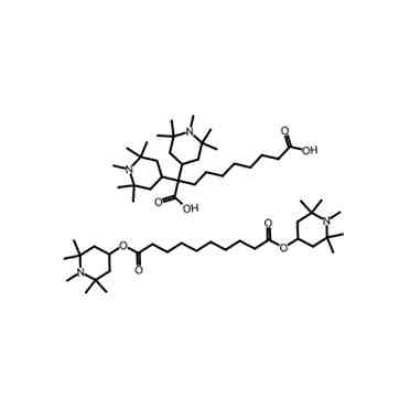 CN1C(C)(C)CC(C(CCCCCCCC(=O)O)(C(=O)O)C2CC(C)(C)N(C)C(C)(C)C2)CC1(C)C.CN1C(C)(C)CC(OC(=O)CCCCCCCCC(=O)OC2CC(C)(C)N(C)C(C)(C)C2)CC1(C)C